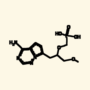 COCC(Cc1ccc2c(N)ncnn12)OCP(=O)(O)O